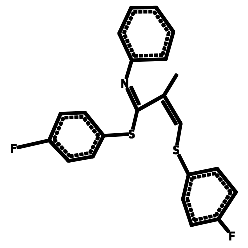 CC(=CSc1ccc(F)cc1)C(=Nc1ccccc1)Sc1ccc(F)cc1